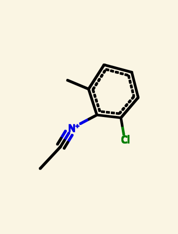 CC#[N+]c1c(C)cccc1Cl